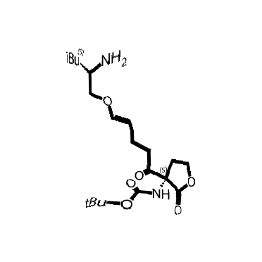 CC[C@H](C)C(N)COC=CCCC(=O)[C@@]1(NC(=O)OC(C)(C)C)CCOC1=O